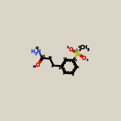 CS(=O)(=O)c1cccc(CCC(N)=O)c1